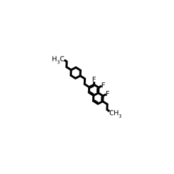 CCCc1ccc2cc(CCC3CCC(CCC)CC3)c(F)c(F)c2c1F